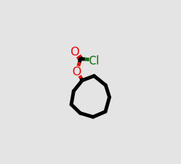 O=C(Cl)OC1CCCCCCCC1